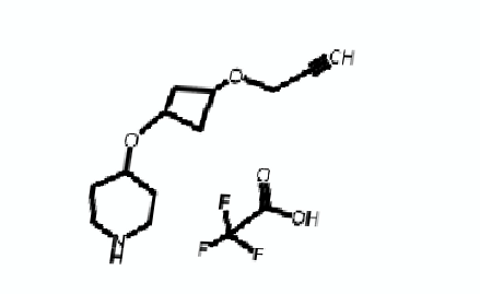 C#CCOC1CC(OC2CCNCC2)C1.O=C(O)C(F)(F)F